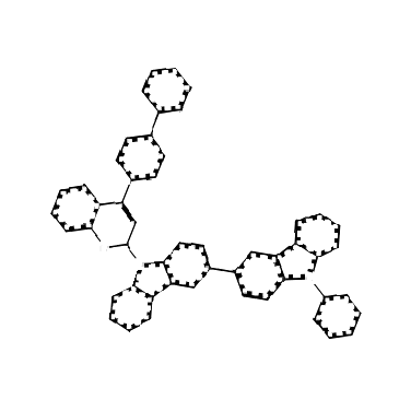 C1=C(c2ccc(-c3ccccc3)cc2)c2ccccc2NC1n1c2ccccc2c2cc(-c3ccc4c(c3)c3ccccc3n4-c3ccccc3)ccc21